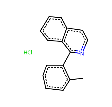 Cc1ccccc1-c1nccc2ccccc12.Cl